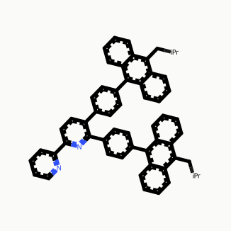 CC(C)Cc1c2ccccc2c(-c2ccc(-c3ccc(-c4ccccn4)nc3-c3ccc(-c4c5ccccc5c(CC(C)C)c5ccccc45)cc3)cc2)c2ccccc12